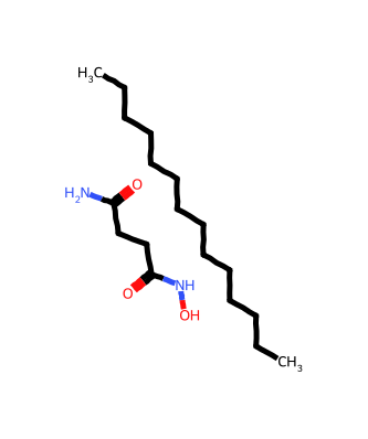 CCCCCCCCCCCCCC.NC(=O)CCC(=O)NO